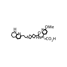 COc1ccc([C@H](CC(=O)O)NC(=O)C2CC3(C2)CN(CCc2ccc4c(n2)NCCC4)C3)cn1